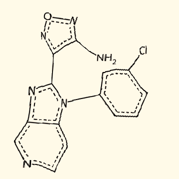 Nc1nonc1-c1nc2cnccc2n1-c1cccc(Cl)c1